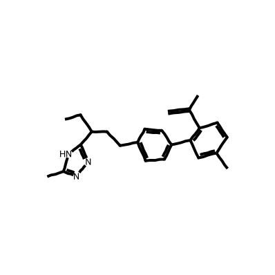 C=C(C)c1ccc(C)cc1-c1ccc(CCC(CC)c2nnc(C)[nH]2)cc1